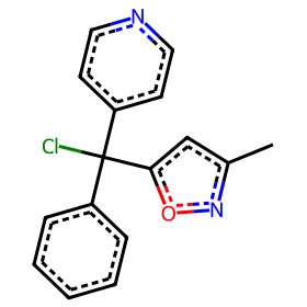 Cc1cc(C(Cl)(c2ccccc2)c2ccncc2)on1